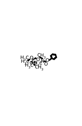 CC(C)OP(=O)(CO[C@H](C)CN(C)C(=O)OCc1ccccc1)OC(C)C